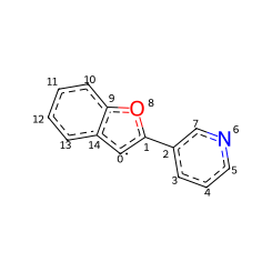 [c]1c(-c2cccnc2)oc2ccccc12